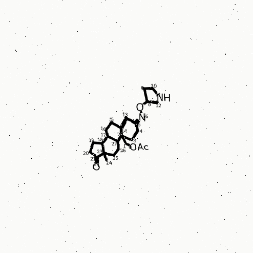 CC(=O)OCC12CC/C(=N/OC3CCNC3)C=C1CCC1C3CCC(=O)C3(C)CCC12